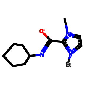 CCn1cc[n+](C)c1/C([O-])=N/C1CCCCC1